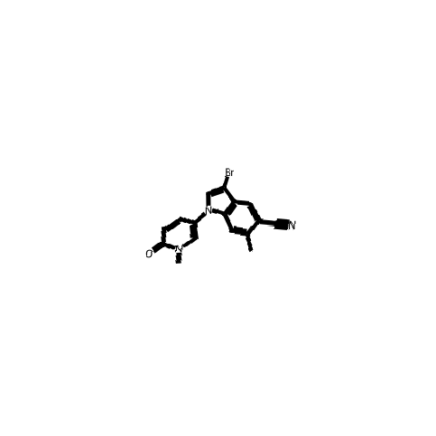 Cc1cc2c(cc1C#N)c(Br)cn2-c1ccc(=O)n(C)c1